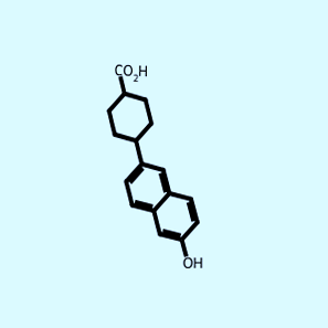 O=C(O)C1CCC(c2ccc3cc(O)ccc3c2)CC1